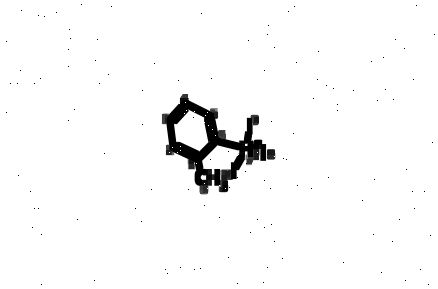 Cc1cccc[c]1[Hf]([I])([I])[I]